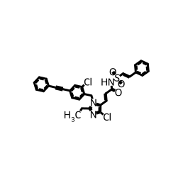 CCc1nc(Cl)c(C=CC(=O)NS(=O)(=O)C=Cc2ccccc2)n1Cc1ccc(C#Cc2ccccc2)cc1Cl